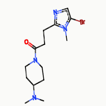 CN(C)C1CCN(C(=O)CCc2ncc(Br)n2C)CC1